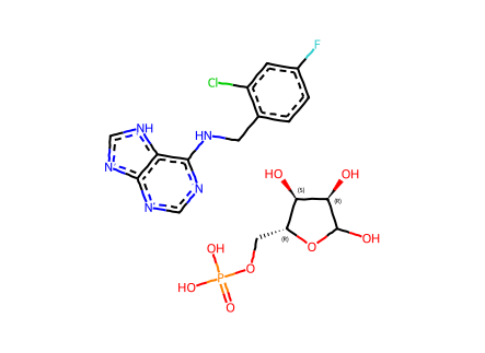 Fc1ccc(CNc2ncnc3nc[nH]c23)c(Cl)c1.O=P(O)(O)OC[C@H]1OC(O)[C@H](O)[C@@H]1O